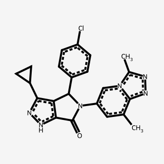 Cc1cc(N2C(=O)c3[nH]nc(C4CC4)c3C2c2ccc(Cl)cc2)cn2c(C)nnc12